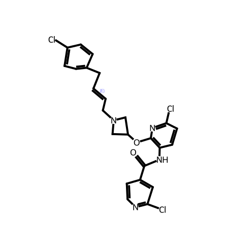 O=C(Nc1ccc(Cl)nc1OC1CN(C/C=C/Cc2ccc(Cl)cc2)C1)c1ccnc(Cl)c1